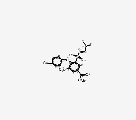 COC(=O)c1cc([N+](=O)[O-])c(Oc2ccc(Cl)cc2)c(S(=O)(=O)N=CN(C)C)c1